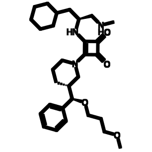 CNC[C@H](CC1CCCCC1)Nc1c(N2CCC[C@@H]([C@@H](OCCCOC)c3ccccc3)C2)c(=O)c1=O